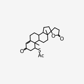 CC(=O)SC1CC(=O)C=C2CCC3C(CCC4(C)C3CCC43CCC(=O)O3)C21C